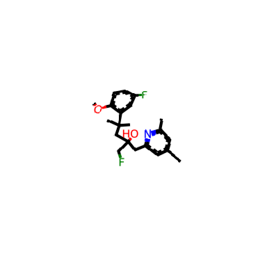 COc1ccc(F)cc1C(C)(C)CC(O)(CF)Cc1cc(C)cc(C)n1